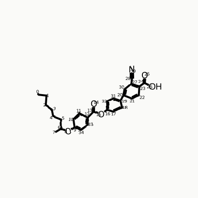 CCCCCCC(C)Oc1ccc(C(=O)Oc2ccc(-c3ccc(C(=O)O)c(C#N)c3)cc2)cc1